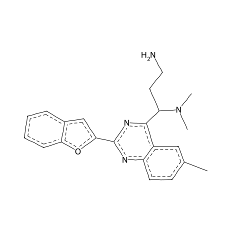 Cc1ccc2nc(-c3cc4ccccc4o3)nc(C(CCN)N(C)C)c2c1